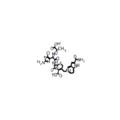 C[C@H](O/N=C(\C(=O)N[C@@H]1C(=O)N2C(C(=O)O)=C(C[n+]3ccc4[nH]c(C(N)=O)cc4c3)CSC12)c1nc(N)sc1Cl)C(=O)O